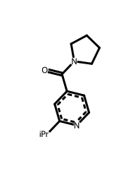 CC(C)c1cc(C(=O)N2CCCC2)ccn1